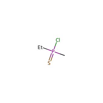 CCP(C)(=S)Cl